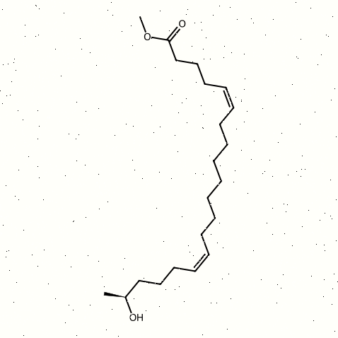 COC(=O)CCC/C=C\CCCCCCC/C=C\CCC[C@H](C)O